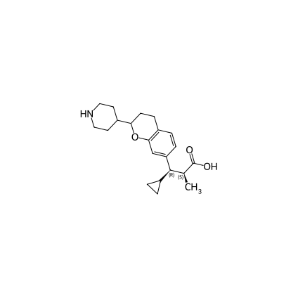 C[C@H](C(=O)O)[C@H](c1ccc2c(c1)OC(C1CCNCC1)CC2)C1CC1